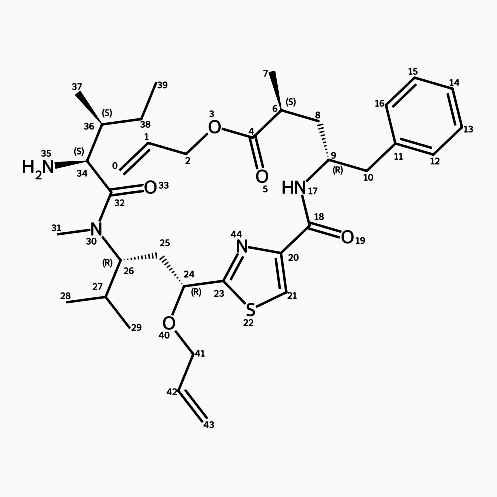 C=CCOC(=O)[C@@H](C)C[C@H](Cc1ccccc1)NC(=O)c1csc([C@@H](C[C@H](C(C)C)N(C)C(=O)[C@@H](N)[C@@H](C)CC)OCC=C)n1